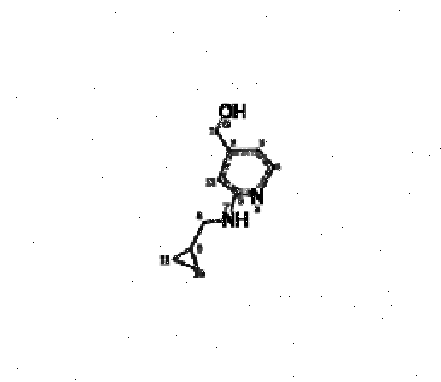 OCc1ccnc(NCC2CC2)c1